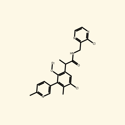 CCOc1c(C(C)C(=O)NCc2nccnc2Cl)cc(Cl)c(C)c1-c1ccc(C)nc1